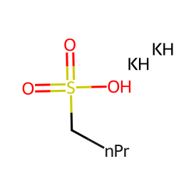 CCCCS(=O)(=O)O.[KH].[KH]